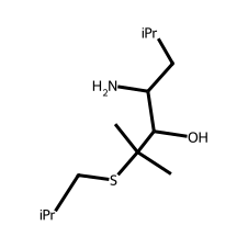 CC(C)CSC(C)(C)C(O)C(N)CC(C)C